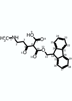 CNCCC(=O)C(C(=O)O)C(=O)OCC1c2ccccc2-c2ccccc21